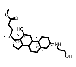 COC(=O)CC[C@@H](C)[C@H]1CCC2C3CC[C@@H]4C[C@@H](NCCO)CC[C@]4(C)C3C[C@H](O)[C@@]21C